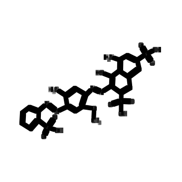 COc1cc(N=Nc2ccccc2S(=O)(=O)O)c(C)cc1N=Nc1c(S(=O)(=O)O)cc2cc(S(=O)(=O)O)cc(N)c2c1O